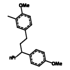 CCCC(CCc1ccc(OC)c(C)c1)c1ccc(OC)cc1